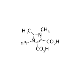 CCCN1C(C(=O)O)=C(C(=O)O)N(C)C1C